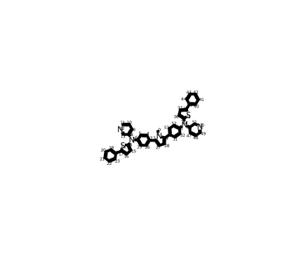 Cn1c(-c2ccc(N(c3cccnc3)c3ccc(-c4ccccc4)s3)cc2)ccc1-c1ccc(N(c2ccc(-c3ccccc3)s2)C2C=CC=NC2)cc1